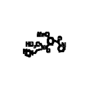 COc1cc(C(=O)c2ccccn2)cc(C(=O)N(CCCn2ccnc2)CC(=O)O)c1